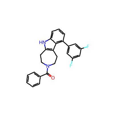 O=C(c1ccccc1)N1CCc2[nH]c3cccc(-c4cc(F)cc(F)c4)c3c2CC1